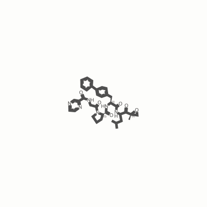 CC(C)CC(NC(=O)[C@H](Cc1ccc(-c2ccccc2)cc1)NC(=O)[C@@H]1CCCN1C(=O)CNC(=O)c1cnccn1)C(=O)[C@@]1(C)CO1